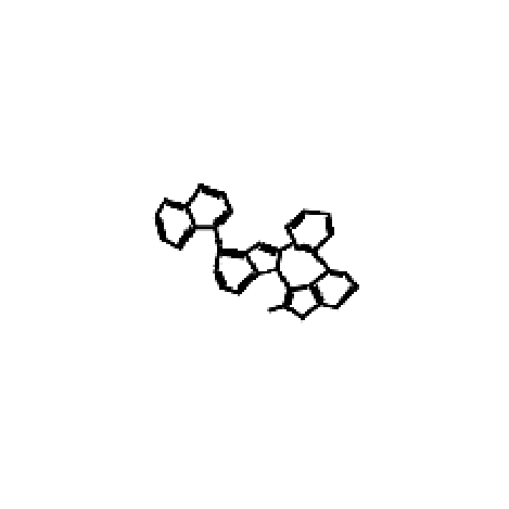 CC1=Cc2c(-c3cccc4ccccc34)cccc2C1C1=C(C)[CH]c2cccc(-c3ccccc3)c21